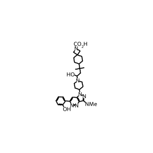 CNc1nn(C2CCN(C(O)CC(C)(C)C3CCC4(CC3)CN(C(=O)O)C4)CC2)c2cc(-c3ccccc3O)nnc12